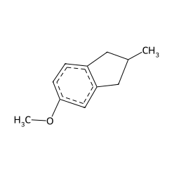 COc1ccc2c(c1)CC(C)C2